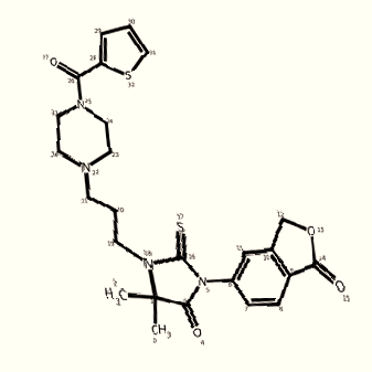 CC1(C)C(=O)N(c2ccc3c(c2)COC3=O)C(=S)N1CCCN1CCN(C(=O)c2cccs2)CC1